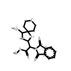 CC(C)(C)OC(=O)C(C1NC(C(=O)O)C2(CCSCC2)S1)N1C(=O)c2ccccc2C1=O